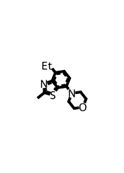 CCc1ccc(N2CCOCC2)c2sc(C)nc12